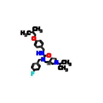 CC(C)COc1ccc(CNC(=O)N(Cc2ccc(F)cc2)C[C@H]2CCN(C(C)C)C2)cc1